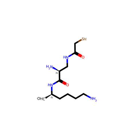 NCCCC[C@@H]([C]=O)NC(=O)[C@@H](N)CNC(=O)CS